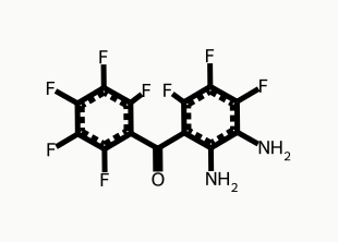 Nc1c(N)c(C(=O)c2c(F)c(F)c(F)c(F)c2F)c(F)c(F)c1F